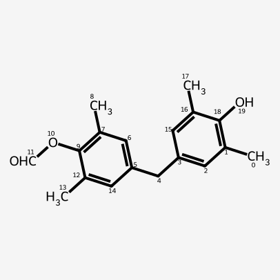 Cc1cc(Cc2cc(C)c(OC=O)c(C)c2)cc(C)c1O